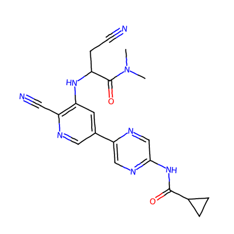 CN(C)C(=O)C(CC#N)Nc1cc(-c2cnc(NC(=O)C3CC3)cn2)cnc1C#N